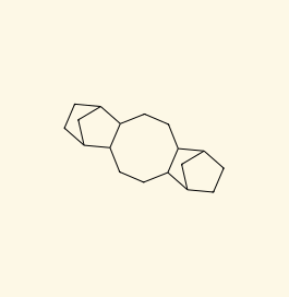 C1CC2CC1C1CCC3C4CCC(C4)C3CCC21